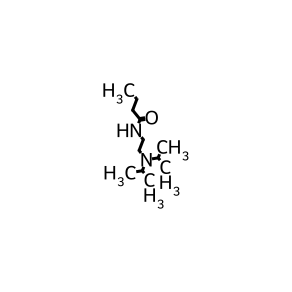 CCCC(=O)NCCN(C(C)C)C(C)C